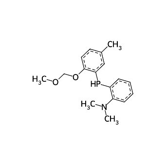 COCOc1ccc(C)cc1Pc1ccccc1N(C)C